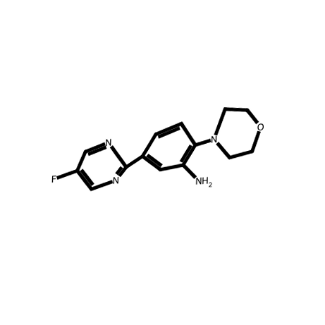 Nc1cc(-c2ncc(F)cn2)ccc1N1CCOCC1